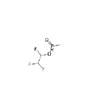 C[PH](=O)OC(F)C(F)F